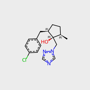 C[C@@H]1CC[C@H](Cc2ccc(Cl)cc2)[C@@]1(O)Cn1cncn1